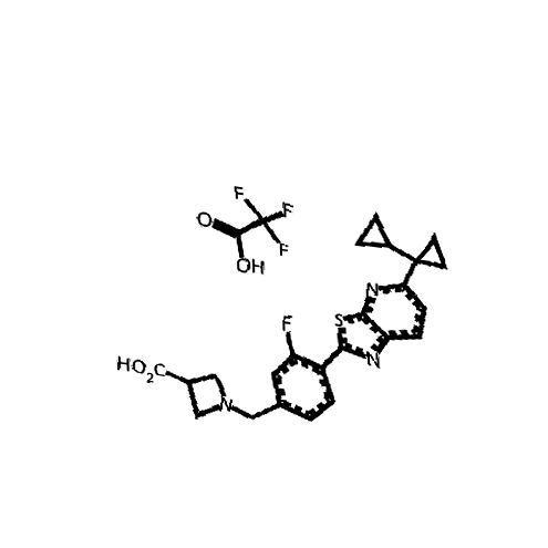 O=C(O)C(F)(F)F.O=C(O)C1CN(Cc2ccc(-c3nc4ccc(C5(C6CC6)CC5)nc4s3)c(F)c2)C1